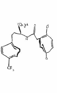 O=C(N[C@@H](Cc1ccc(C(F)(F)F)cc1)C(=O)O)c1cc(Cl)ccc1Cl